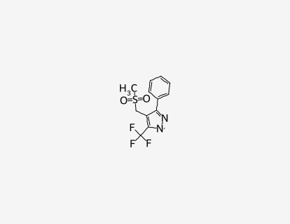 CS(=O)(=O)CC1=C(C(F)(F)F)[N]N=C1c1ccccc1